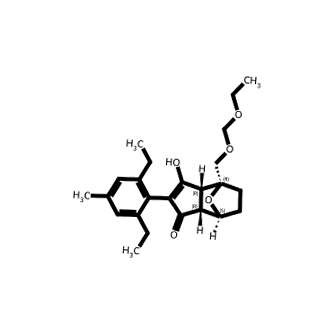 CCOCOC[C@]12CC[C@H](O1)[C@@H]1C(=O)C(c3c(CC)cc(C)cc3CC)=C(O)[C@@H]12